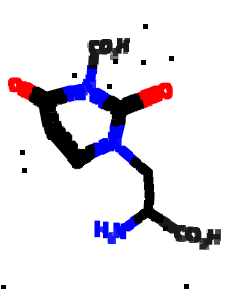 NC(Cn1ccc(=O)n(C(=O)O)c1=O)C(=O)O